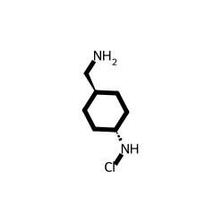 NC[C@H]1CC[C@H](NCl)CC1